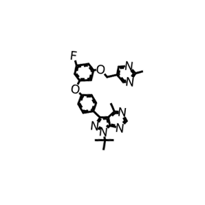 Cc1ncc(COc2cc(F)cc(Oc3ccc(-c4nn(C(C)(C)C)c5ncnc(C)c45)cc3)c2)cn1